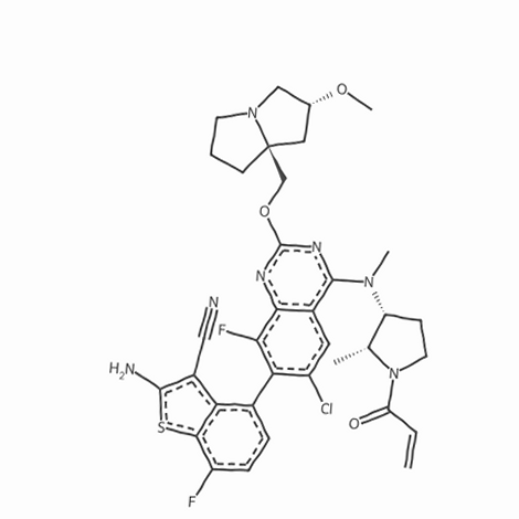 C=CC(=O)N1CC[C@@H](N(C)c2nc(OC[C@@]34CCCN3C[C@H](OC)C4)nc3c(F)c(-c4ccc(F)c5sc(N)c(C#N)c45)c(Cl)cc23)[C@H]1C